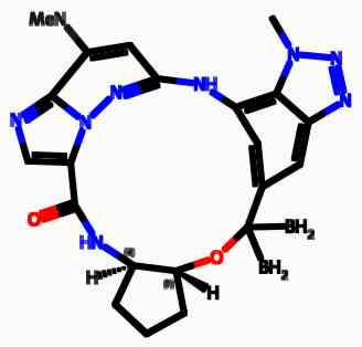 BC1(B)O[C@@H]2CCC[C@H]2NC(=O)c2cnc3c(NC)cc(nn23)Nc2cc1cc1nnn(C)c21